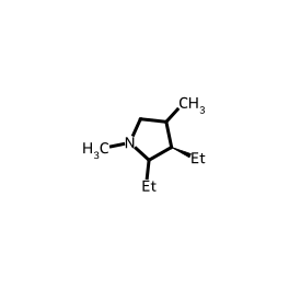 CCC1[C@H](CC)C(C)CN1C